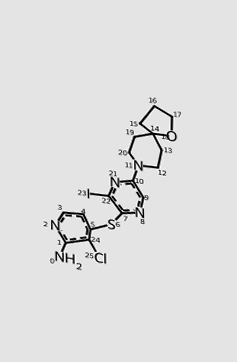 Nc1nccc(Sc2ncc(N3CCC4(CCCO4)CC3)nc2I)c1Cl